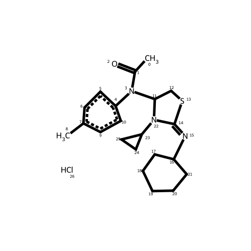 CC(=O)N(c1ccc(C)cc1)C1CSC(=NC2CCCCC2)N1C1CC1.Cl